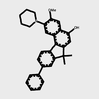 COc1cc2c(O)cc3c(c2cc1N1CCCCC1)-c1ccc(-c2ccccc2)cc1C3(C)C